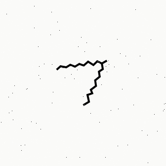 [CH2]C(CCCCCCCCCC)CCCCCCCCCC